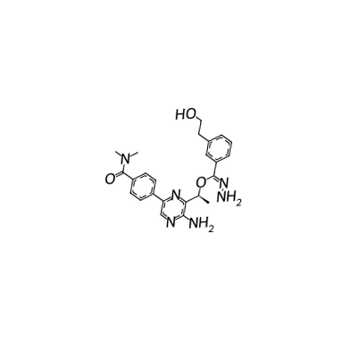 C[C@H](O/C(=N\N)c1cccc(CCO)c1)c1nc(-c2ccc(C(=O)N(C)C)cc2)cnc1N